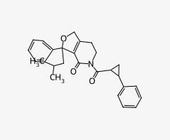 CC(C)CC1(c2ccccc2)OCC2=C1C(=O)N(C(=O)C1CC1c1ccccc1)CC2